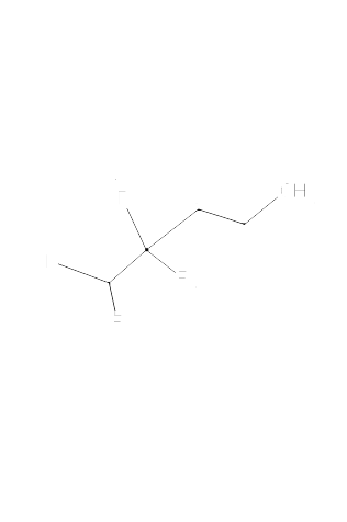 CCCC(F)(F)C(F)F